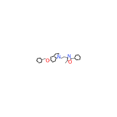 Cc1oc(-c2ccccc2)nc1CCn1ccc2cc(OCc3ccccc3)ccc21